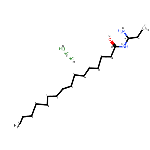 CCCCCCCCCCCCCCCC(=O)NC(N)CC.Cl.Cl.Cl